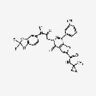 CCN(C(=O)Cn1nc(-c2cccc(C#N)c2)c2oc(C(=O)NC3(C(F)(F)F)CC3)cc2c1=O)c1ccc2c(c1)OC(F)(F)O2